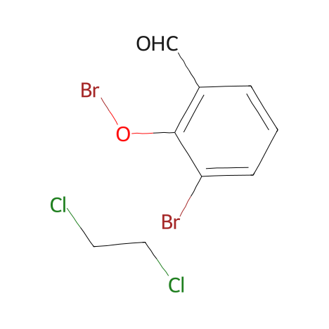 ClCCCl.O=Cc1cccc(Br)c1OBr